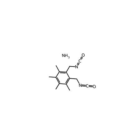 Cc1c(C)c(C)c(CN=C=O)c(CN=C=O)c1C.N